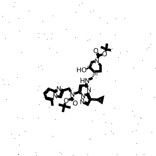 Cc1cccc2nc(CN(C(=O)OC(C)(C)C)c3cc(NC[C@H]4CCN(C(=O)OC(C)(C)C)C[C@@H]4O)nc4c(C5CC5)cnn34)cn12